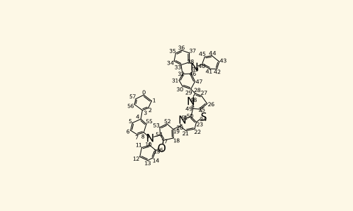 c1ccc(-c2cccc(N3c4ccccc4Oc4cc(-c5ccc6sc7ccc(-c8ccc9c%10ccccc%10n(-c%10ccccc%10)c9c8)nc7c6n5)ccc43)c2)cc1